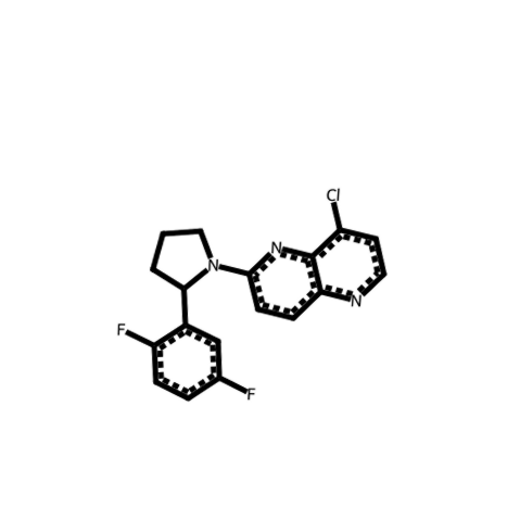 Fc1ccc(F)c(C2CCCN2c2ccc3nccc(Cl)c3n2)c1